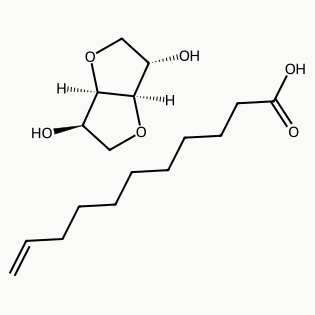 C=CCCCCCCCCC(=O)O.O[C@@H]1CO[C@H]2[C@@H]1OC[C@@H]2O